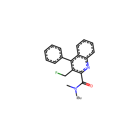 CCC(C)N(C)C(=O)c1nc2ccccc2c(-c2ccccc2)c1CF